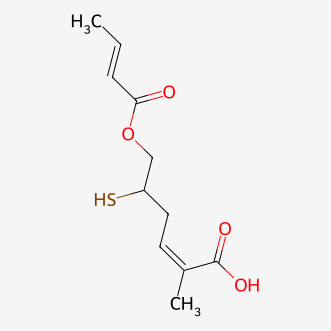 CC=CC(=O)OCC(S)CC=C(C)C(=O)O